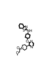 COCC(=O)N1CCC(c2nccnc2Oc2ccc(Nc3nc4ccccc4s3)cc2)CC1